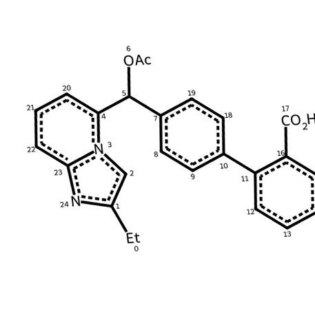 CCc1cn2c(C(OC(C)=O)c3ccc(-c4ccccc4C(=O)O)cc3)cccc2n1